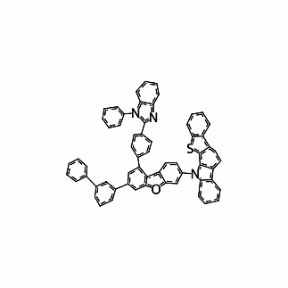 c1ccc(-c2cccc(-c3cc(-c4ccc(-c5nc6ccccc6n5-c5ccccc5)cc4)c4c(c3)oc3cc(-n5c6ccccc6c6ccc7c8ccccc8sc7c65)ccc34)c2)cc1